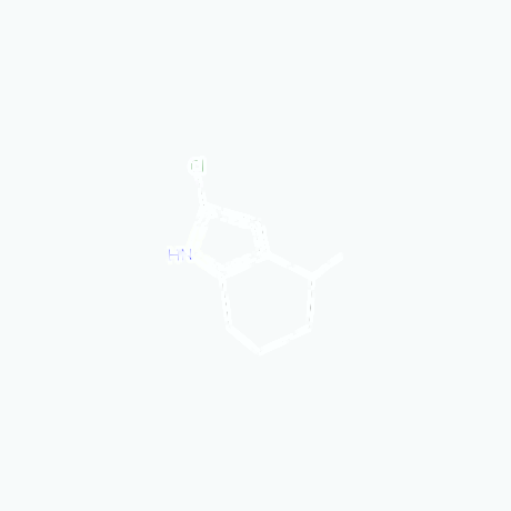 CC1CCCc2[nH]c(Cl)cc21